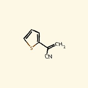 C=C(C#N)c1cccs1